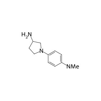 CNc1ccc(N2CCC(N)C2)cc1